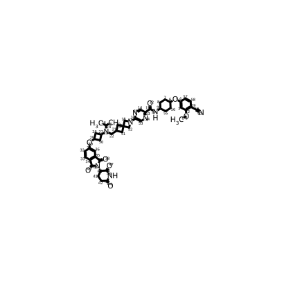 COc1cc(OC2CCC(NC(=O)c3cnc(N4CC5(CC(CN(C(C)C)C6CC(Oc7ccc8c(c7)C(=O)N([C@@H]7CCC(=O)NC7=O)C8=O)C6)C5)C4)cn3)CC2)ccc1C#N